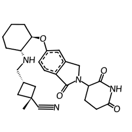 C[C@]1(C#N)C[C@@H](CN[C@@H]2CCCC[C@H]2Oc2ccc3c(c2)CN(C2CCC(=O)NC2=O)C3=O)C1